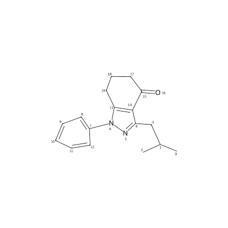 CC(C)Cc1nn(-c2ccccc2)c2c1C(=O)CCC2